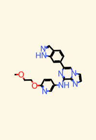 COCCOc1ccc(Nc2nc(-c3ccc4cn[nH]c4c3)cn3ccnc23)cn1